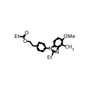 CCC(=O)OCCc1ccc(-n2c(CC)nc3c(C)c(OC)ccc32)cc1